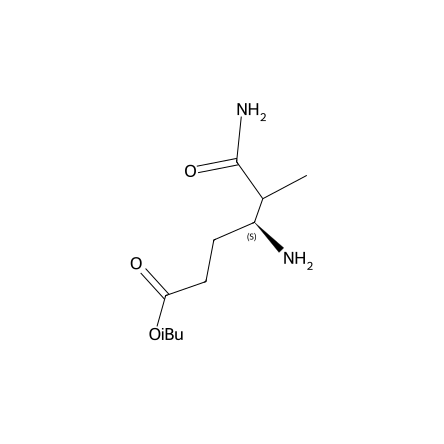 CC(C)COC(=O)CC[C@H](N)C(C)C(N)=O